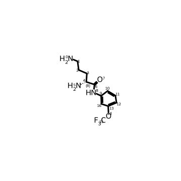 NCCC[C@@H](N)C(=O)Nc1cccc(OC(F)(F)F)c1